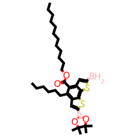 Bc1cc2c(C(=O)OCCCCCCCCCCCC)c(CCCCCC)c3cc(B4OC(C)(C)C(C)(C)O4)sc3c2s1